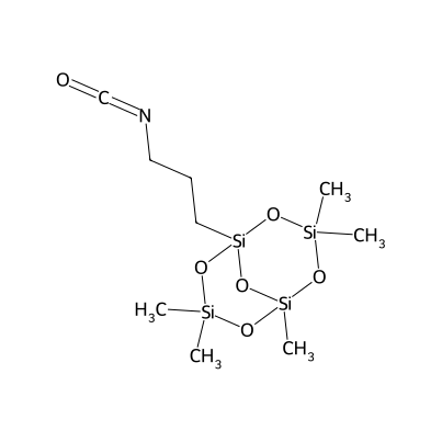 C[Si]1(C)O[Si]2(C)O[Si](C)(C)O[Si](CCCN=C=O)(O1)O2